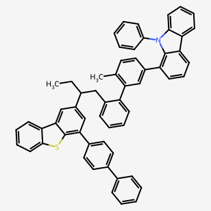 CCC(Cc1ccccc1-c1cc(-c2cccc3c4ccccc4n(-c4ccccc4)c23)ccc1C)c1cc(-c2ccc(-c3ccccc3)cc2)c2sc3ccccc3c2c1